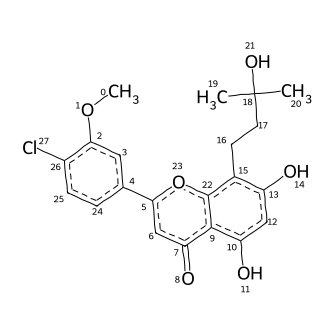 COc1cc(-c2cc(=O)c3c(O)cc(O)c(CCC(C)(C)O)c3o2)ccc1Cl